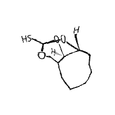 SC12OC3CCCCC[C@@H](O1)[C@@H]3O2